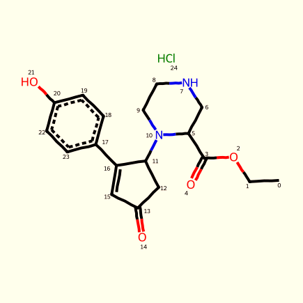 CCOC(=O)C1CNCCN1C1CC(=O)C=C1c1ccc(O)cc1.Cl